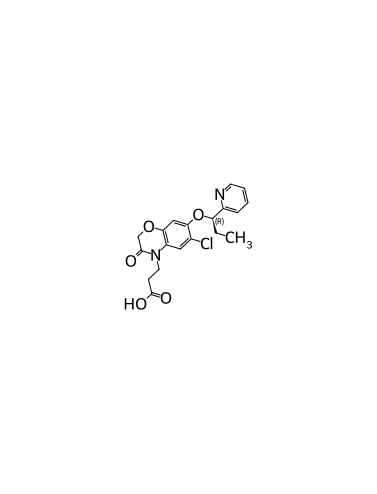 CC[C@@H](Oc1cc2c(cc1Cl)N(CCC(=O)O)C(=O)CO2)c1ccccn1